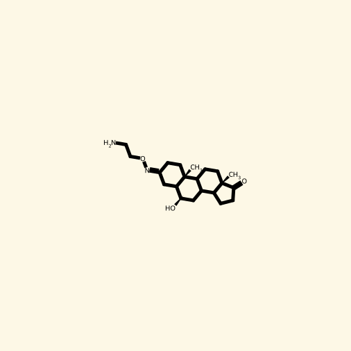 C[C@]12CC/C(=N\OCCN)CC1[C@H](O)CC1C2CC[C@]2(C)C(=O)CCC12